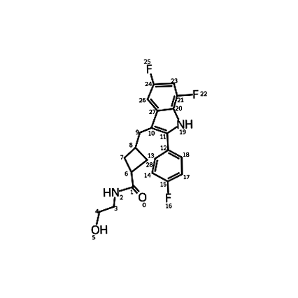 O=C(NCCO)C1CC(Cc2c(-c3ccc(F)cc3)[nH]c3c(F)cc(F)cc23)C1